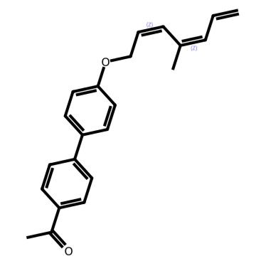 C=C/C=C(C)\C=C/COc1ccc(-c2ccc(C(C)=O)cc2)cc1